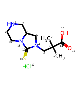 CC(C)(CN1CC2CNCCN2C1=S)C(=O)O.Cl